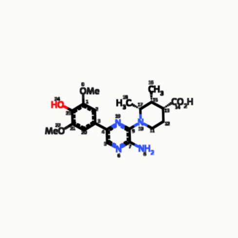 COc1cc(-c2cnc(N)c(N3CC[C@@H](C(=O)O)[C@@H](C)[C@H]3C)n2)cc(OC)c1O